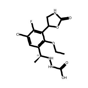 CCOc1c([C@H](C)NNC(=O)O)cc(Cl)c(F)c1C1CNC(=O)O1